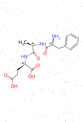 C[C@@H](NC(=O)[C@@H](N)Cc1ccccc1)C(=O)N[C@H](CCC(=O)O)C(=O)O